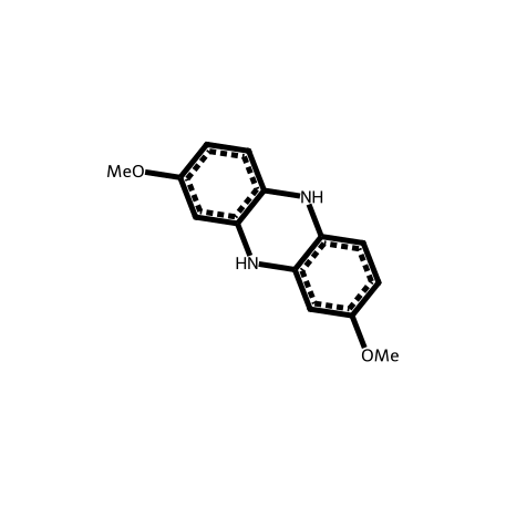 COc1ccc2c(c1)Nc1cc(OC)ccc1N2